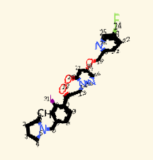 CC1CCCN1Cc1ccc(C(=O)Cn2ncc(OCc3ccc(F)cn3)cc2=O)c(I)c1